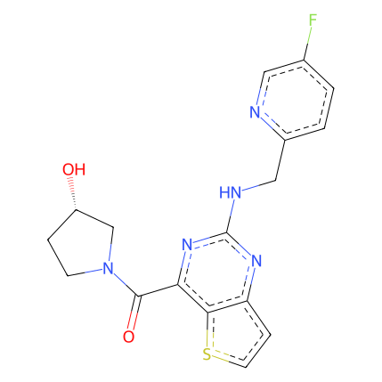 O=C(c1nc(NCc2ccc(F)cn2)nc2ccsc12)N1CC[C@H](O)C1